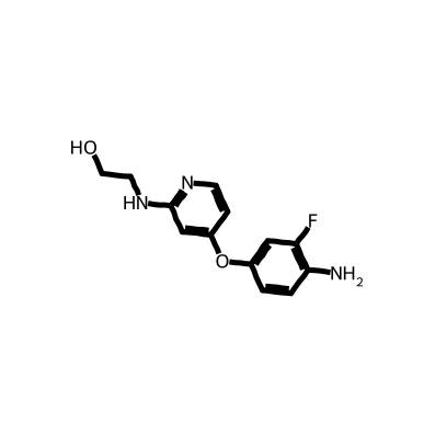 Nc1ccc(Oc2ccnc(NCCO)c2)cc1F